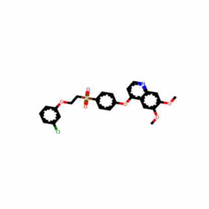 COc1cc2nccc(Oc3ccc(S(=O)(=O)CCOc4cccc(Cl)c4)cc3)c2cc1OC